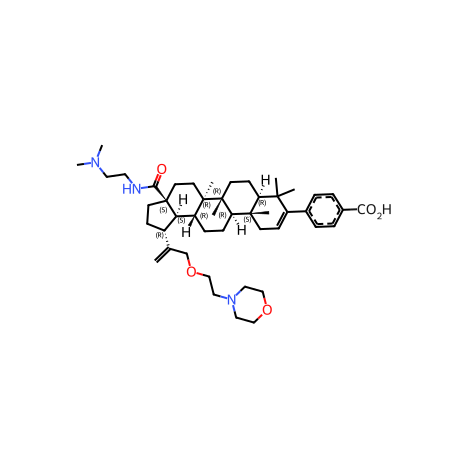 C=C(COCCN1CCOCC1)[C@@H]1CC[C@]2(C(=O)NCCN(C)C)CC[C@]3(C)[C@H](CC[C@@H]4[C@@]5(C)CC=C(c6ccc(C(=O)O)cc6)C(C)(C)[C@@H]5CC[C@]43C)[C@@H]12